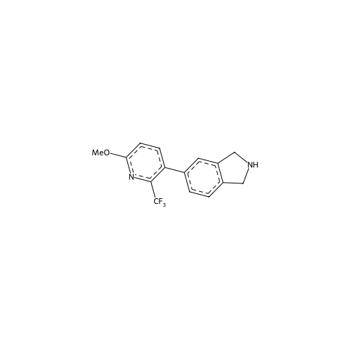 COc1ccc(-c2ccc3c(c2)CNC3)c(C(F)(F)F)n1